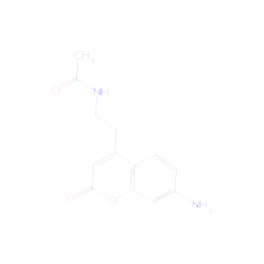 CC(=O)NCCc1cc(=O)oc2cc(N)ccc12